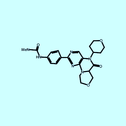 CNC(=O)Nc1ccc(-c2ncc3c(n2)N2CCOCC2C(=O)N3C2CCOCC2)cc1